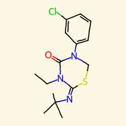 CCN1C(=O)N(c2cccc(Cl)c2)CSC1=NC(C)(C)C